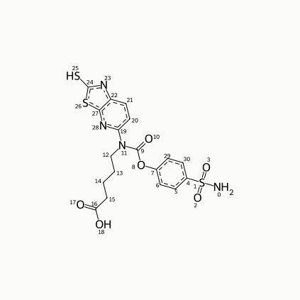 NS(=O)(=O)c1ccc(OC(=O)N(CCCCC(=O)O)c2ccc3nc(S)sc3n2)cc1